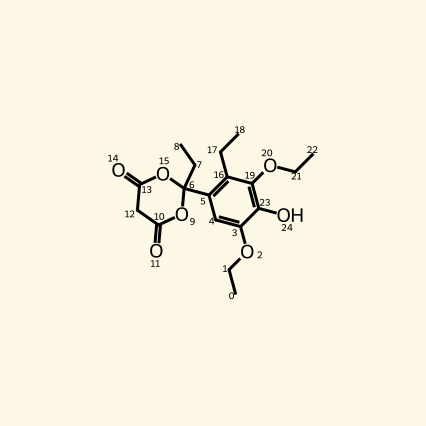 CCOc1cc(C2(CC)OC(=O)CC(=O)O2)c(CC)c(OCC)c1O